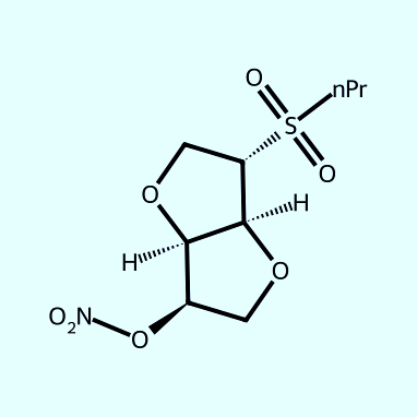 CCCS(=O)(=O)[C@H]1CO[C@H]2[C@@H]1OC[C@H]2O[N+](=O)[O-]